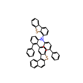 c1ccc(-c2ccc(N(c3cccc(-c4ccccc4)c3-c3ccc4sc5ccc6ccccc6c5c4c3)c3cccc4c3sc3ccccc34)cc2)cc1